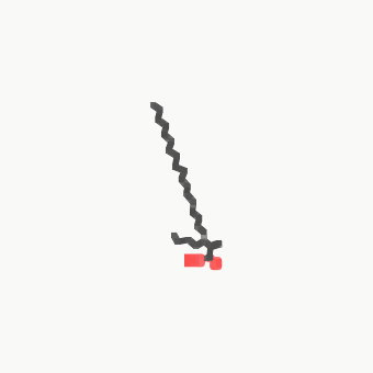 C=C(C(=O)O)C(CCCC)CCCCCCCCCCCCCCCCCC